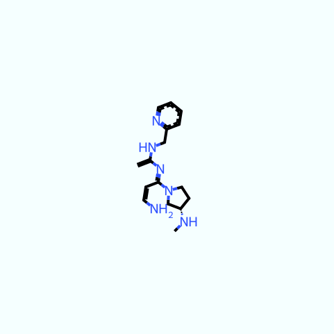 C=C(/N=C(\C=C/N)N1CC[C@H](NC)C1)NCc1ccccn1